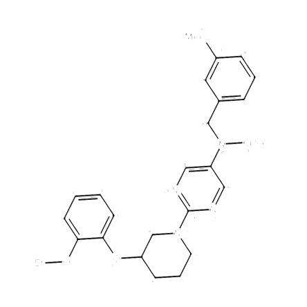 CCOc1ccccc1OC1CCCN(c2ncc(N(C=O)Cc3cccc(OC)c3)cn2)C1